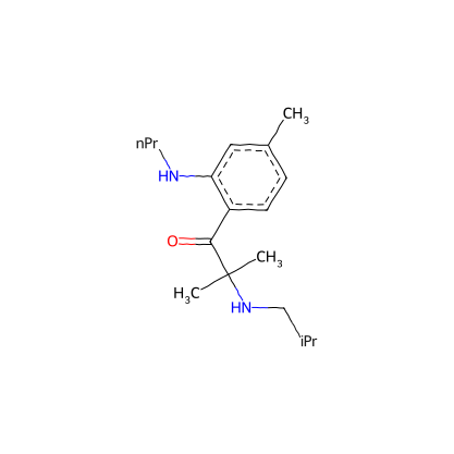 CCCNc1cc(C)ccc1C(=O)C(C)(C)NCC(C)C